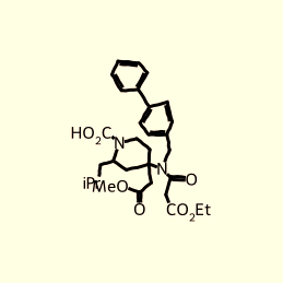 CCOC(=O)CC(=O)N(Cc1ccc(-c2ccccc2)cc1)C1(CC(=O)OC)CCN(C(=O)O)C(CC(C)C)C1